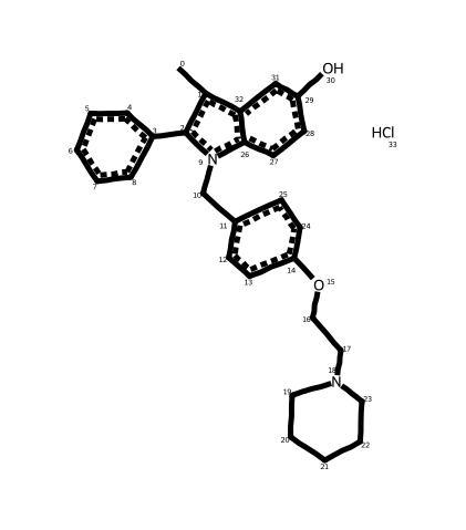 Cc1c(-c2ccccc2)n(Cc2ccc(OCCN3CCCCC3)cc2)c2ccc(O)cc12.Cl